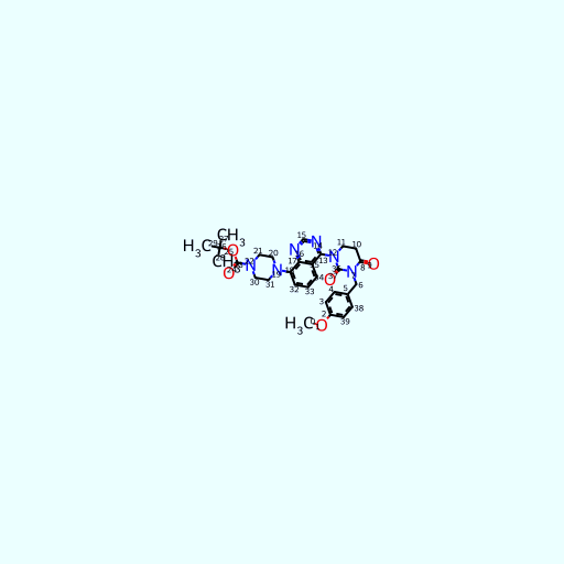 COc1ccc(CN2C(=O)CCN(c3ncnc4c(N5CCN(C(=O)OC(C)(C)C)CC5)cccc34)C2=O)cc1